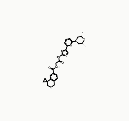 C[C@@H]1CN(c2cccc(-c3csc(NC(=O)CNC(=O)c4ccc5c(c4)C4(CC4)COC5)n3)n2)C[C@H](C)O1